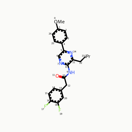 COc1ccc(-c2cnc(NC(=O)Cc3ccc(F)c(F)c3)c(CC(C)C)n2)cc1